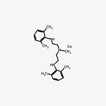 Cc1cccc(C)c1NCCN(C)CCNc1c(C)cccc1C.[Cu]